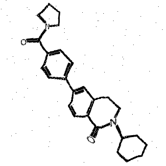 O=C(c1ccc(-c2ccc3c(c2)CCN(C2CCCCC2)C3=O)cc1)N1CCCC1